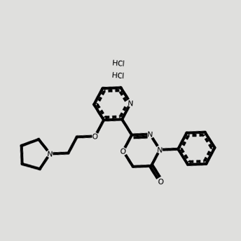 Cl.Cl.O=C1COC(c2ncccc2OCCN2CCCC2)=NN1c1ccccc1